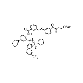 COCCNC(=O)c1cccc(SCc2cccc(C(=O)Nc3ccc(N4CCCCC4)cc3C(=O)c3cc4ccc(C(F)(F)F)cc4n3S(=O)(=O)c3ccccc3)c2)c1